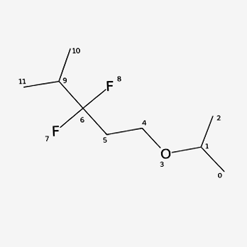 CC(C)OCCC(F)(F)C(C)C